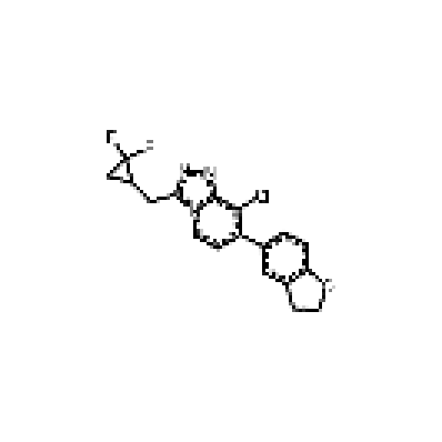 FC1(F)CC1Cc1nnc2c(Cl)c(-c3ccc4c(c3)CCO4)ccn12